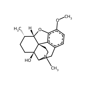 COc1ccc2c3c1O[C@H]1[C@@H](C)CC[C@@]4(O)C(C2)N(C)CC[C@]314